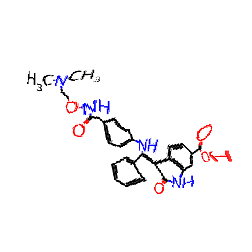 CN(C)CCONC(=O)c1ccc(NC(=C2C(=O)Nc3cc(C(=O)O)ccc32)c2ccccc2)cc1